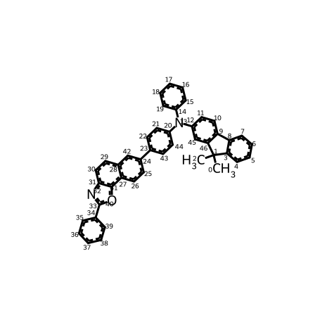 CC1(C)c2ccccc2-c2ccc(N(c3ccccc3)c3ccc(-c4ccc5c(ccc6nc(-c7ccccc7)oc65)c4)cc3)cc21